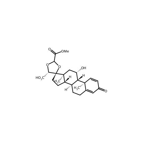 COC(=O)C1O[C@@H](C(=O)O)[C@]2(CC[C@H]3[C@@H]4CCC5=CC(=O)C=C[C@]5(C)[C@H]4[C@@H](O)C[C@@]32C)O1